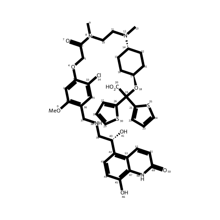 COc1cc(OCC(=O)N(C)CCN(C)[C@H]2CC[C@H](OC(C(=O)O)(c3cccs3)c3cccs3)CC2)c(Cl)cc1CNC[C@H](O)c1ccc(O)c2[nH]c(=O)ccc12